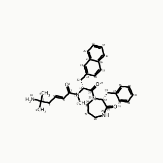 CN(C(=O)C=CCC(C)(C)N)[C@H](Cc1ccc2ccccc2c1)C(=O)N1CCCNC(=O)[C@H]1Cc1ccccc1